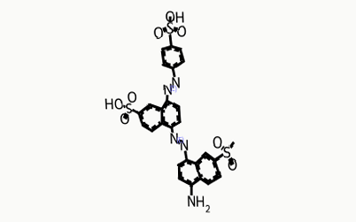 CS(=O)(=O)c1ccc2c(N)ccc(/N=N/c3ccc(/N=N/c4ccc(S(=O)(=O)O)cc4)c4cc(S(=O)(=O)O)ccc34)c2c1